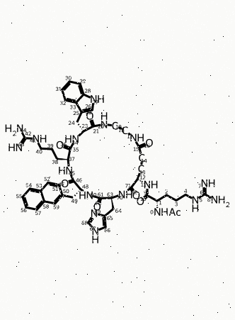 CC(=O)N[C@@H](CCCNC(=N)N)C(=O)N[C@H]1CCC(=O)NCCNC(=O)[C@@H](Cc2c[nH]c3ccccc23)NC(=O)[C@H](CCCNC(=N)N)NC(=O)[C@@H](Cc2ccc3ccccc3c2)NC(=O)[C@H](Cc2c[nH]cn2)NC1=O